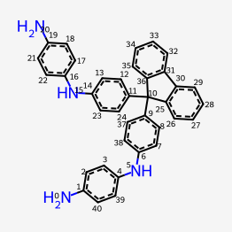 Nc1ccc(Nc2ccc(C3(c4ccc(Nc5ccc(N)cc5)cc4)c4ccccc4-c4ccccc43)cc2)cc1